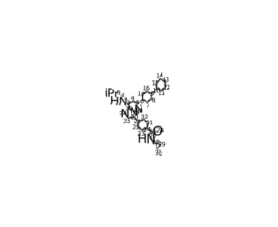 CC(C)CNc1cc(-c2ccc(-c3ccccc3)cc2)nn2c(-c3ccc(C(=O)NC4CC4)cc3)cnc12